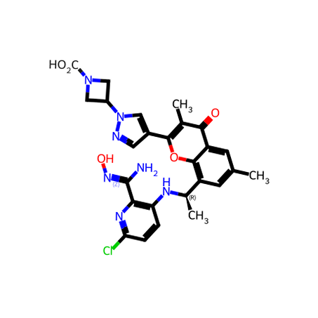 Cc1cc([C@@H](C)Nc2ccc(Cl)nc2/C(N)=N/O)c2oc(-c3cnn(C4CN(C(=O)O)C4)c3)c(C)c(=O)c2c1